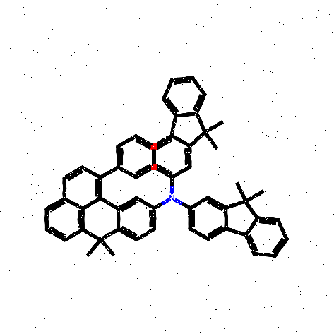 CC1(C)c2ccccc2-c2ccc(N(c3ccc4c(c3)-c3c(-c5ccccc5)ccc5cccc(c35)C4(C)C)c3ccc4c(c3)C(C)(C)c3ccccc3-4)cc21